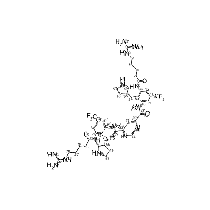 N=C(N)NCCCCC(=O)Nc1cc(C(F)(F)F)cc(NC(=O)c2cc(C(=O)Nc3cc(C(F)(F)F)cc(NC(=O)CCCCNC(=N)N)c3O[C@@H]3CCNC3)ncn2)c1CC1CCNC1